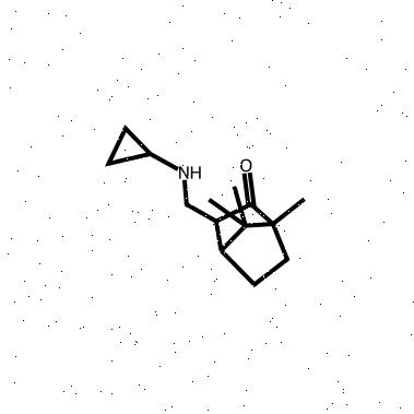 CC12CCC(C(CNC3CC3)C1=O)C2(C)C